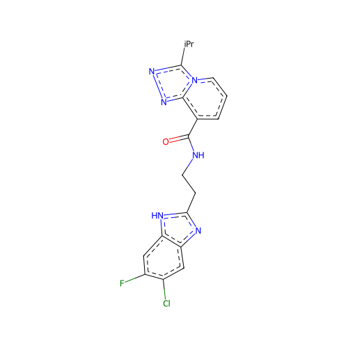 CC(C)c1nnc2c(C(=O)NCCc3nc4cc(Cl)c(F)cc4[nH]3)cccn12